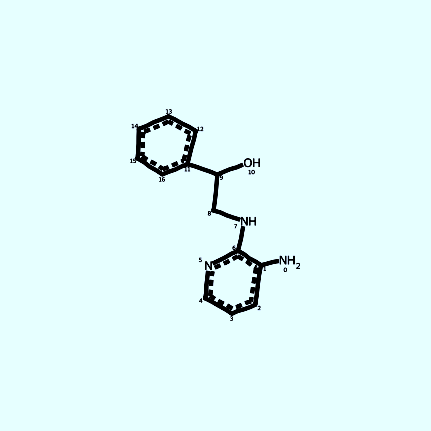 Nc1cccnc1NCC(O)c1ccccc1